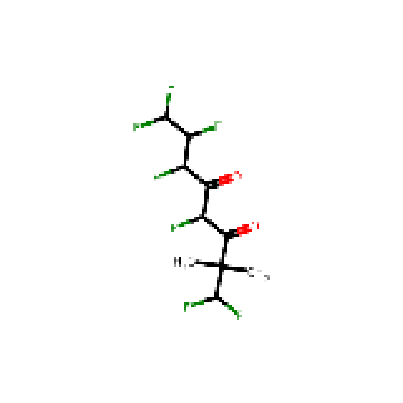 CC(C)(C(=O)C(F)C(=O)C(F)C(F)C(F)F)C(F)F